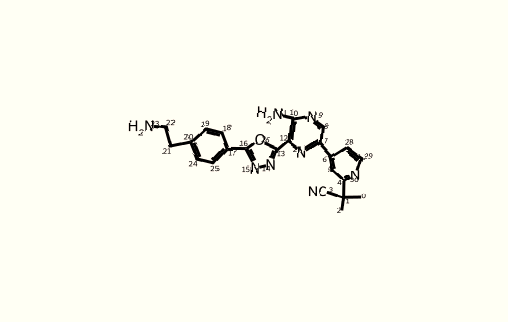 CC(C)(C#N)c1cc(-c2cnc(N)c(-c3nnc(-c4ccc(CCN)cc4)o3)n2)ccn1